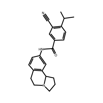 CC(C)c1ccc(C(=O)Nc2ccc3c(c2)C2CCCN2CC3)cc1C#N